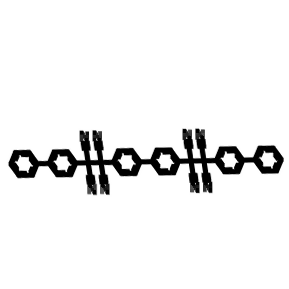 N#CC(C#N)(c1ccc(-c2ccccc2)cc1)C(C#N)(C#N)c1ccc(-c2ccc(C(C#N)(C#N)C(C#N)(C#N)c3ccc(-c4ccccc4)cc3)cc2)cc1